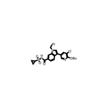 CC(C)COc1ncc(-c2cn(CC(C)C)c3cc(C(=O)NS(=O)(=O)C4CC4)ccc23)cc1Cl